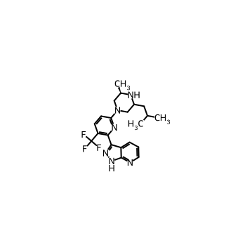 CC(C)CC1CN(c2ccc(C(F)(F)F)c(-c3n[nH]c4ncccc34)n2)C[C@@H](C)N1